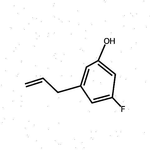 C=CCc1cc(O)cc(F)c1